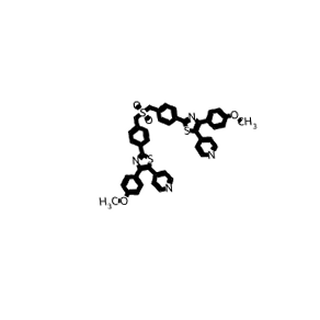 COc1ccc(-c2nc(-c3ccc(CS(=O)(=O)Cc4ccc(-c5nc(-c6ccc(OC)cc6)c(-c6ccncc6)s5)cc4)cc3)sc2-c2ccncc2)cc1